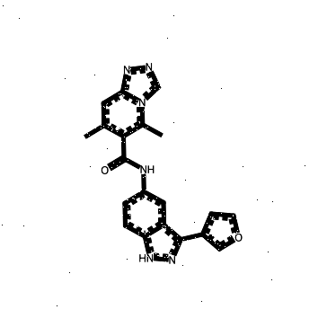 Cc1cc2nncn2c(C)c1C(=O)Nc1ccc2[nH]nc(-c3ccoc3)c2c1